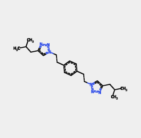 CC(C)Cc1cn(CCc2ccc(CCn3cc(CC(C)C)nn3)cc2)nn1